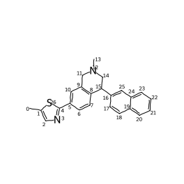 Cc1cnc(-c2ccc3c(c2)CN(C)CC3c2ccc3ccccc3c2)s1